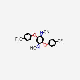 N#C/N=C1C=C(Oc2ccc(C(F)(F)F)cc2)/C(=N/C#N)C=C\1Oc1ccc(C(F)(F)F)cc1